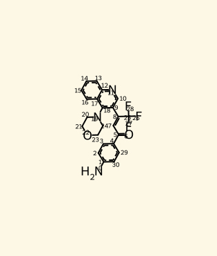 Nc1ccc(C(=O)C=C(c2cnc3ccccc3c2N2CCOCC2)C(F)(F)F)cc1